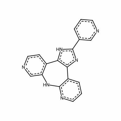 c1cncc(-c2nc3c([nH]2)-c2ccncc2Nc2ncccc2-3)c1